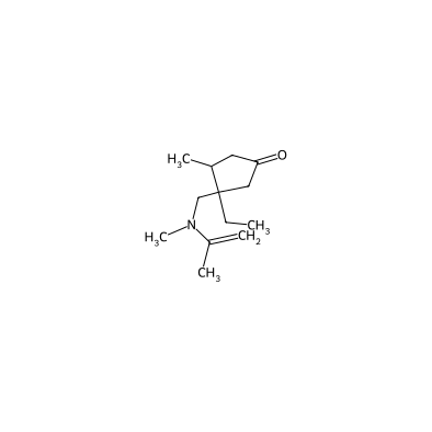 C=C(C)N(C)CC1(CC)CC(=O)CC1C